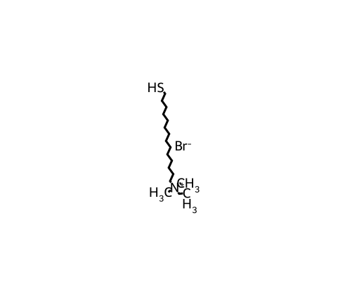 CC[N+](C)(C)CCCCCCCCCCCCCCS.[Br-]